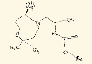 C[C@@H](CN1CC(C)(C)OC[C@H]1C(=O)O)NC(=O)OC(C)(C)C